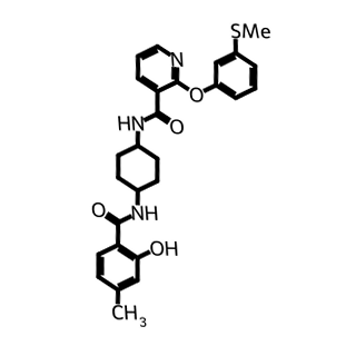 CSc1cccc(Oc2ncccc2C(=O)NC2CCC(NC(=O)c3ccc(C)cc3O)CC2)c1